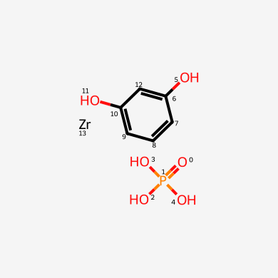 O=P(O)(O)O.Oc1cccc(O)c1.[Zr]